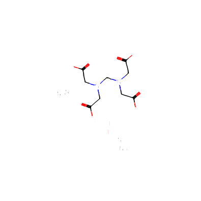 O.O.O=C([O-])CN(CC(=O)[O-])CN(CC(=O)[O-])CC(=O)[O-].[Na+].[Na+].[Na+].[Na+]